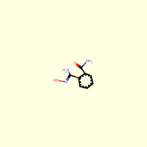 NC(=O)c1ccccc1C(N)=NO